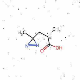 C[C@@H](CC1(C)N=N1)C(=O)O